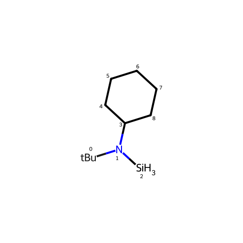 CC(C)(C)N([SiH3])C1CCCCC1